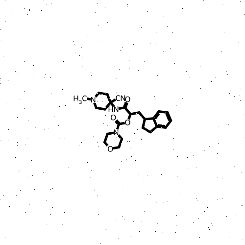 CN1CCC(C#N)(NC(=O)C(CC2CCc3ccccc32)OC(=O)N2CCOCC2)CC1